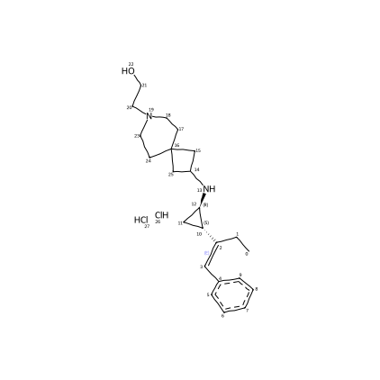 CC/C(=C\c1ccccc1)[C@@H]1C[C@H]1NC1CC2(CCN(CCO)CC2)C1.Cl.Cl